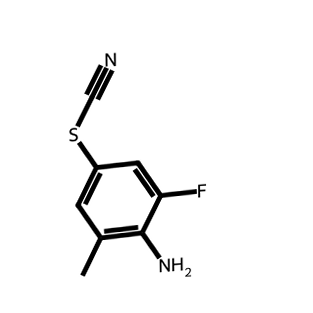 Cc1cc(SC#N)cc(F)c1N